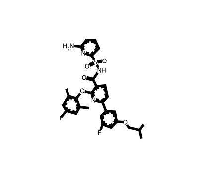 Cc1cc(I)cc(C)c1Oc1nc(-c2cc(F)cc(OCC(C)C)c2)ccc1C(=O)NS(=O)(=O)c1cccc(N)n1